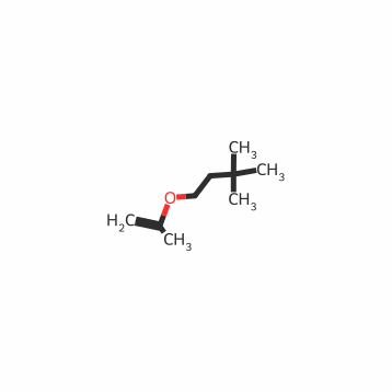 C=C(C)OCCC(C)(C)C